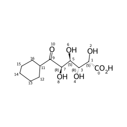 O=C(O)[C@@H](O)[C@H](O)[C@H](O)[C@@H](O)C(=O)C1CCCCC1